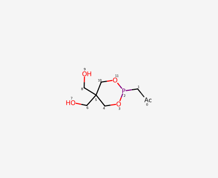 [CH2]C(=O)CP1OCC(CO)(CO)CO1